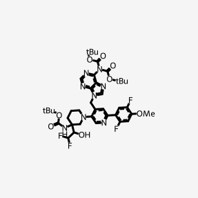 COc1cc(F)c(-c2cc(Cn3cnc4c(N(C(=O)OC(C)(C)C)C(=O)OC(C)(C)C)ncnc43)c(N3CCCC(NC(=O)OC(C)(C)C)(C(O)C(F)F)C3)cn2)cc1F